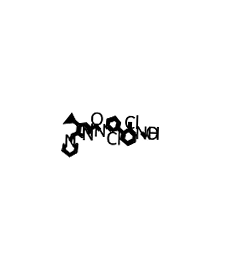 O=CNc1cccc(-c2cccc(NC(=O)c3cc(C4CC4)c(CN4CCCCC4)cn3)c2Cl)c1Cl